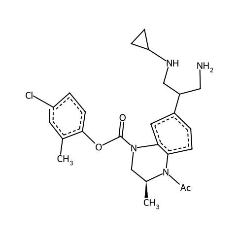 CC(=O)N1c2ccc(C(CN)CNC3CC3)cc2N(C(=O)Oc2ccc(Cl)cc2C)C[C@@H]1C